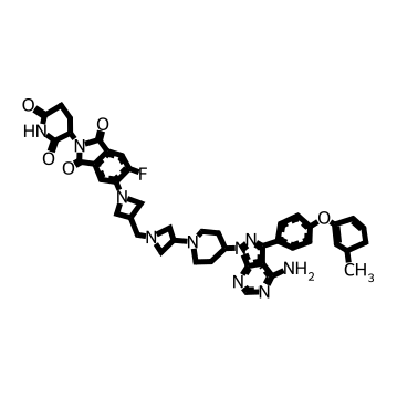 CC1C=C(Oc2ccc(-c3nn(C4CCN(C5CN(CC6CN(c7cc8c(cc7F)C(=O)N(C7CCC(=O)NC7=O)C8=O)C6)C5)CC4)c4ncnc(N)c34)cc2)C=CC1